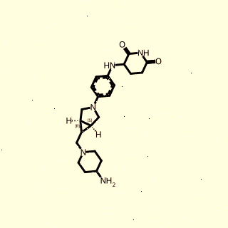 NC1CCN(CC2[C@H]3CN(c4ccc(NC5CCC(=O)NC5=O)cc4)C[C@@H]23)CC1